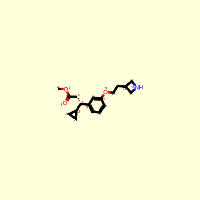 COC(=O)C[C@H](c1cccc(OCCC2CNC2)c1)C1CC1